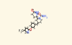 NC(=O)N1CCC(=Cc2cccc(Oc3ccc(C(F)(F)F)cn3)c2)CC1C1=NNC(=O)CC1